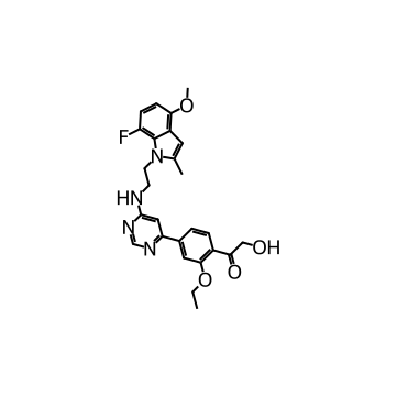 CCOc1cc(-c2cc(NCCn3c(C)cc4c(OC)ccc(F)c43)ncn2)ccc1C(=O)CO